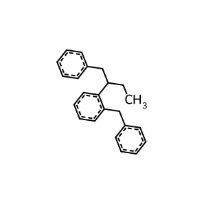 CCC(Cc1ccccc1)c1ccccc1Cc1ccccc1